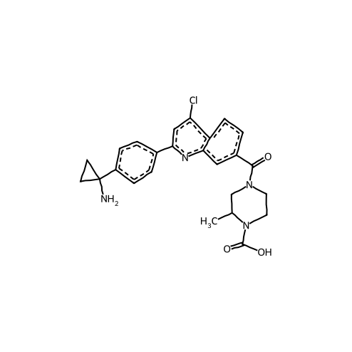 CC1CN(C(=O)c2ccc3c(Cl)cc(-c4ccc(C5(N)CC5)cc4)nc3c2)CCN1C(=O)O